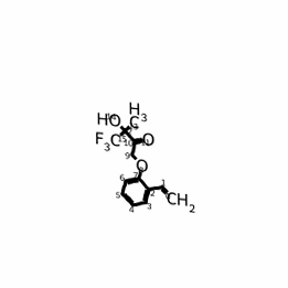 C=Cc1ccccc1OCC(=O)C(C)(O)C(F)(F)F